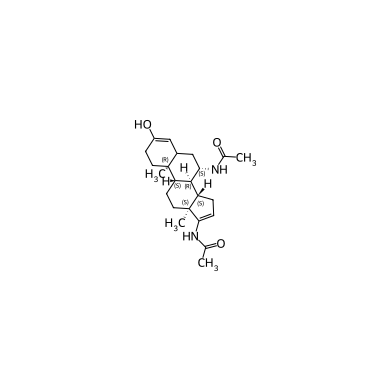 CC(=O)NC1=CC[C@H]2[C@@H]3[C@@H](NC(C)=O)CC4C=C(O)CC[C@]4(C)[C@H]3CC[C@]12C